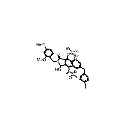 COc1ccc(CN2C(=O)c3c(c(N(C)S(C)(=O)=O)c4cc(Cc5ccc(F)cc5)cnc4c3O[Si](C(C)C)(C(C)C)C(C)C)C2O)c(OC)c1